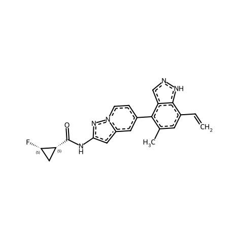 C=Cc1cc(C)c(-c2ccn3nc(NC(=O)[C@@H]4C[C@@H]4F)cc3c2)c2cn[nH]c12